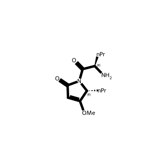 CCC[C@@H](N)C(=O)N1C(=O)C=C(OC)[C@H]1CCC